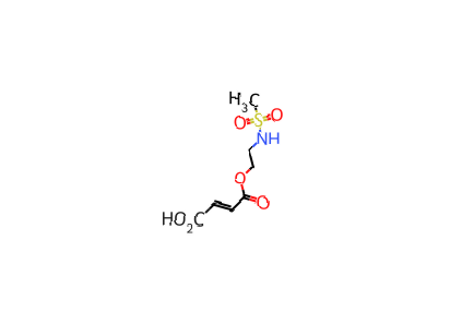 CS(=O)(=O)NCCOC(=O)C=CC(=O)O